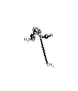 CCCCCCCCCCCCCCCCCCCC[C@H](COP(=O)(O)OC[C@](C)(CCc1ccc2c(N)ncnn12)OC)OCc1ccc(C#N)nc1